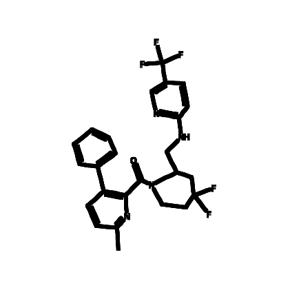 Cc1ccc(-c2ccccc2)c(C(=O)N2CCC(F)(F)CC2CNc2ccc(C(F)(F)F)cn2)n1